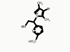 CC1=C[SH](C(CC(C)(C)C)c2ccc(C(=O)O)s2)C(C)=C1Br